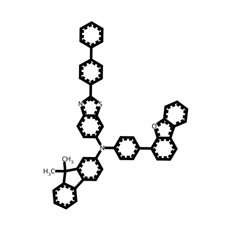 CC1(C)c2ccccc2-c2ccc(N(c3ccc(-c4cccc5c4oc4ccccc45)cc3)c3ccc4nc(-c5ccc(-c6ccccc6)cc5)sc4c3)cc21